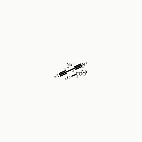 N#CC#N.O=C([O-])[O-].[Na+].[Na+]